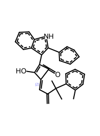 C=C(/C=C1\C(=O)C(c2c(-c3ccccc3)[nH]c3ccccc23)=C1O)C(C)(C)c1ccccc1C